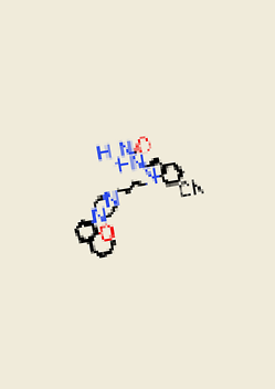 N#Cc1ccc2cc(NC(N)=O)n(CCCCN3CCN(c4cccc5c4OCCCC5)CC3)c2c1